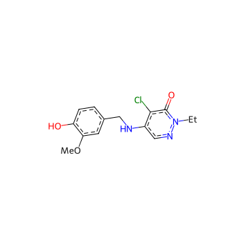 CCn1ncc(NCc2ccc(O)c(OC)c2)c(Cl)c1=O